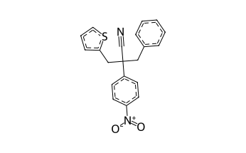 N#CC(Cc1ccccc1)(Cc1cccs1)c1ccc([N+](=O)[O-])cc1